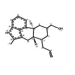 C=CCN1CC(CO)C[C@@H]2c3cccc4[nH]c(C)c(c34)C[C@H]21